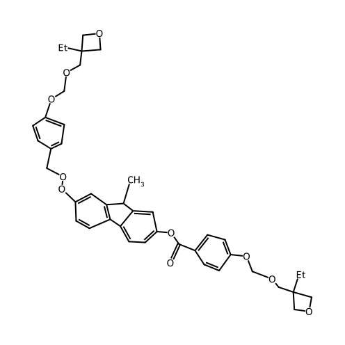 CCC1(COCOc2ccc(COOc3ccc4c(c3)C(C)c3cc(OC(=O)c5ccc(OCOCC6(CC)COC6)cc5)ccc3-4)cc2)COC1